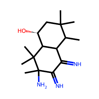 CC1C2C(=N)C(=N)C(C)(N)C(C)(C)C2[C@H](O)CC1(C)C